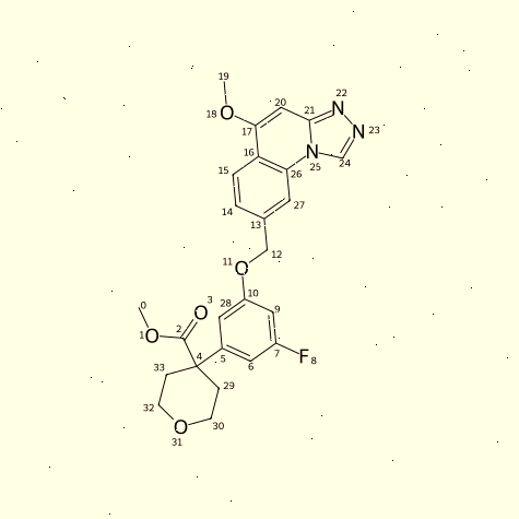 COC(=O)C1(c2cc(F)cc(OCc3ccc4c(OC)cc5nncn5c4c3)c2)CCOCC1